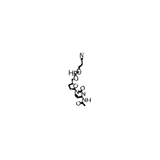 CC(=O)Nc1ccn(C2CC[C@@H](COPOCCC#N)O2)c(=O)n1